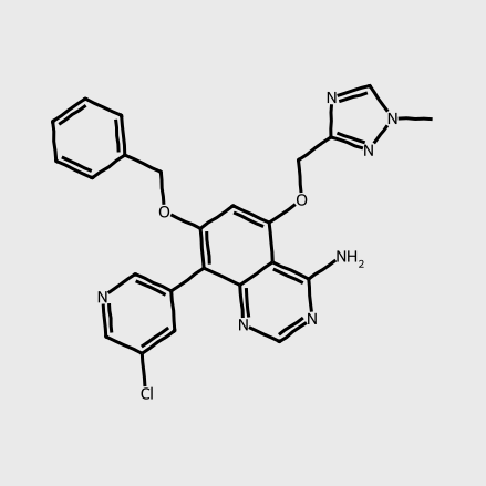 Cn1cnc(COc2cc(OCc3ccccc3)c(-c3cncc(Cl)c3)c3ncnc(N)c23)n1